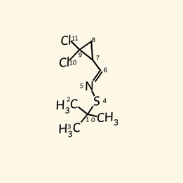 CC(C)(C)SN=CC1CC1(Cl)Cl